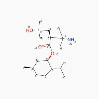 CC(C)[C@@H]1CC[C@@H](C)C[C@H]1OC(=O)[C@@H](CC(C)(C)O)C(C)(C)N